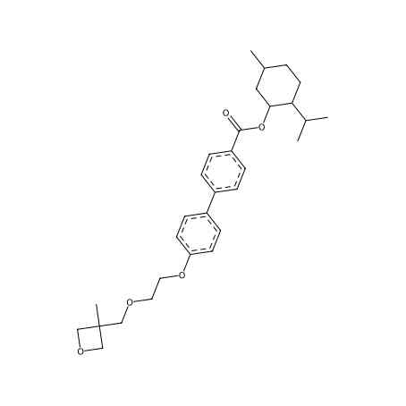 CC1CCC(C(C)C)C(OC(=O)c2ccc(-c3ccc(OCCOCC4(C)COC4)cc3)cc2)C1